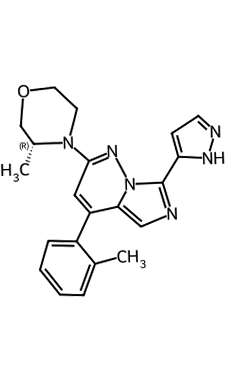 Cc1ccccc1-c1cc(N2CCOC[C@H]2C)nn2c(-c3ccn[nH]3)ncc12